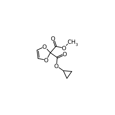 COC(=O)C1(C(=O)OC2CC2)OC=CO1